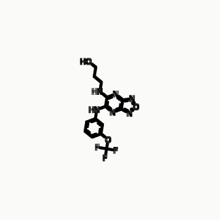 OCCCNc1nc2nonc2nc1Nc1cccc(OC(F)(F)F)c1